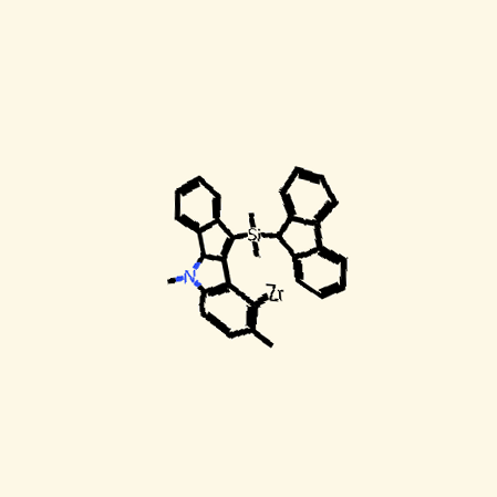 Cc1ccc2c([c]1[Zr])C1=C([Si](C)(C)C3c4ccccc4-c4ccccc43)c3ccccc3C1N2C